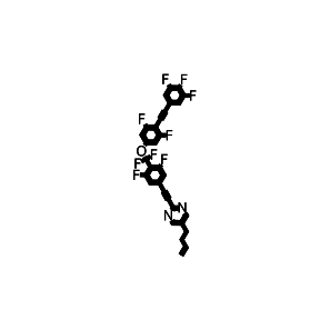 C=CCCc1cnc(C#Cc2cc(F)c(C(F)(F)Oc3cc(F)c(C#Cc4cc(F)c(F)c(F)c4)c(F)c3)c(F)c2)nc1